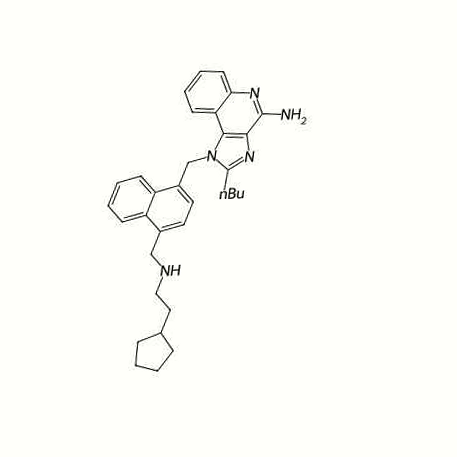 CCCCc1nc2c(N)nc3ccccc3c2n1Cc1ccc(CNCCC2CCCC2)c2ccccc12